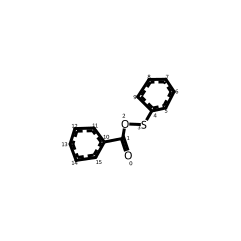 O=C(OSc1ccccc1)c1ccccc1